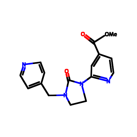 COC(=O)c1ccnc(N2CCN(Cc3ccncc3)C2=O)c1